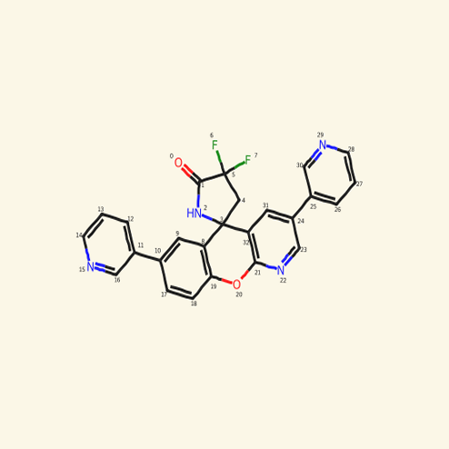 O=C1NC2(CC1(F)F)c1cc(-c3cccnc3)ccc1Oc1ncc(-c3cccnc3)cc12